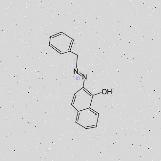 Oc1c(/N=N/Cc2ccccc2)ccc2ccccc12